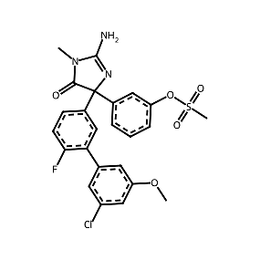 COc1cc(Cl)cc(-c2cc(C3(c4cccc(OS(C)(=O)=O)c4)N=C(N)N(C)C3=O)ccc2F)c1